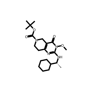 COn1c(N[C@H](C)C2CCCCC2)nc2c(c1=O)CN(C(=O)OC(C)(C)C)CC2